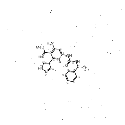 COC(=N)c1c(N)cc(NC(=O)N[C@H](C)c2ccccc2)nc1-c1cn[nH]c1